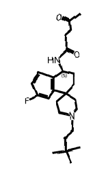 CC(=O)CCC(=O)N[C@H]1CCC2(CCN(CCC(C)(C)C)CC2)c2cc(F)ccc21